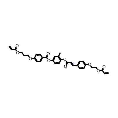 C=CC(=O)OCCCOc1ccc(C(=O)Oc2ccc(OC(=O)/C=C/c3ccc(OCCOC(=O)C=C)cc3)c(C)c2)cc1